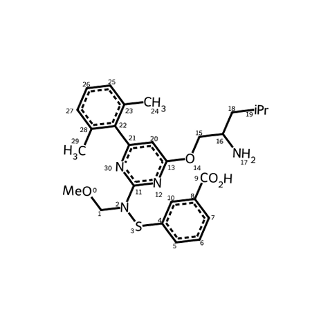 COCN(Sc1cccc(C(=O)O)c1)c1nc(OCC(N)CC(C)C)cc(-c2c(C)cccc2C)n1